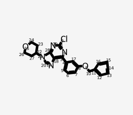 Clc1nc(-c2cccc(OCc3ccccc3)c2)c2ncn(C3CCOCC3)c2n1